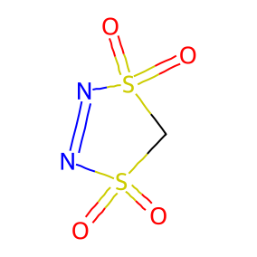 O=S1(=O)CS(=O)(=O)N=N1